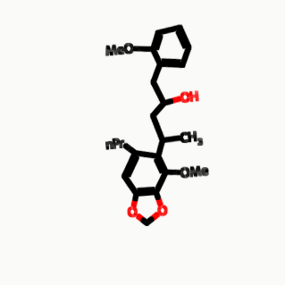 CCCc1cc2c(c(OC)c1C(C)CC(O)Cc1ccccc1OC)OCO2